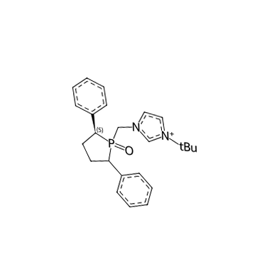 CC(C)(C)[n+]1ccn(CP2(=O)C(c3ccccc3)CC[C@H]2c2ccccc2)c1